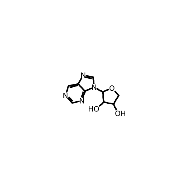 OC1COC(n2cnc3cncnc32)C1O